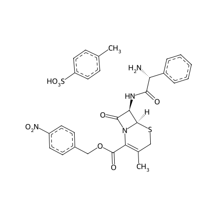 CC1=C(C(=O)OCc2ccc([N+](=O)[O-])cc2)N2C(=O)[C@@H](NC(=O)[C@H](N)c3ccccc3)[C@H]2SC1.Cc1ccc(S(=O)(=O)O)cc1